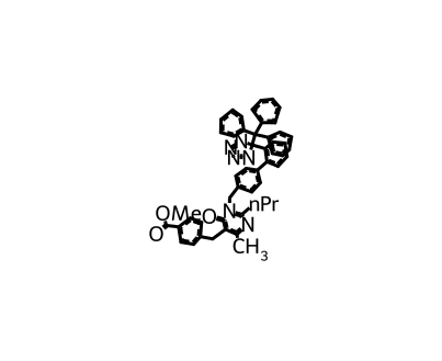 CCCc1nc(C)c(Cc2ccc(C(=O)OC)cc2)c(=O)n1Cc1ccc(-c2ccccc2C2(C(c3ccccc3)(c3ccccc3)c3ccccc3)N=NN=N2)cc1